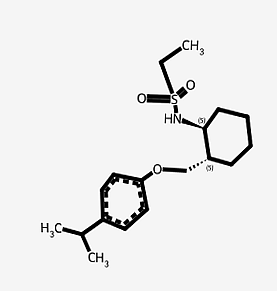 CCS(=O)(=O)N[C@H]1CCCC[C@@H]1COc1ccc(C(C)C)cc1